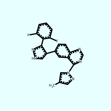 Cc1cnn(-c2ncnc3ccc(-c4c[nH]nc4-c4c(F)cccc4F)cc23)c1